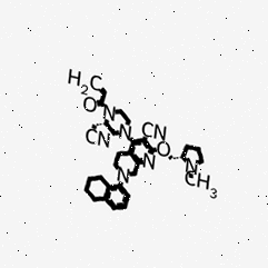 C=CC(=O)N1CCN(c2c(C#N)c(OC[C@@H]3CCCN3C)nc3c2CCN(c2cccc4c2CCCC4)C3)C[C@@H]1CC#N